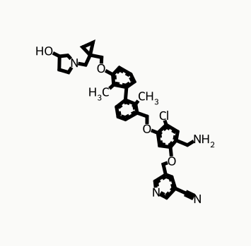 Cc1c(COc2cc(OCc3cncc(C#N)c3)c(CN)cc2Cl)cccc1-c1cccc(OCC2(CN3CCC(O)C3)CC2)c1C